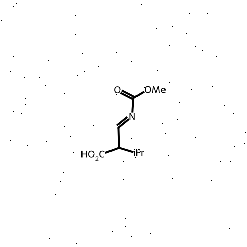 COC(=O)/N=C/C(C(=O)O)C(C)C